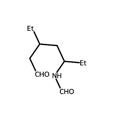 CCC(CC=O)CC(CC)NC=O